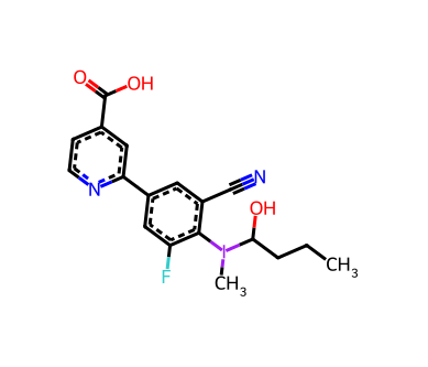 CCCC(O)I(C)c1c(F)cc(-c2cc(C(=O)O)ccn2)cc1C#N